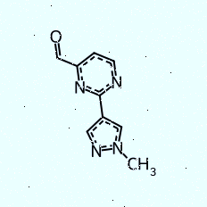 Cn1cc(-c2nccc(C=O)n2)cn1